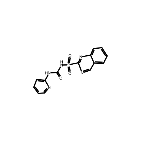 O=C(Nc1ccccn1)NS(=O)(=O)c1ncc2ccccc2n1